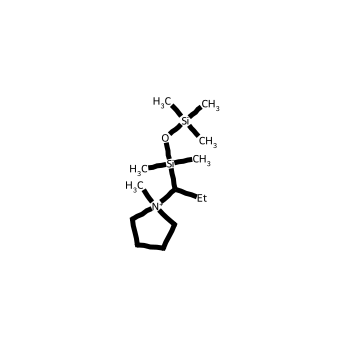 CCC([N+]1(C)CCCC1)[Si](C)(C)O[Si](C)(C)C